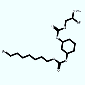 CCCCCC(CCC)COC(=O)OC1CCCC(OC(=O)OCCCCCCCC(C)C)C1